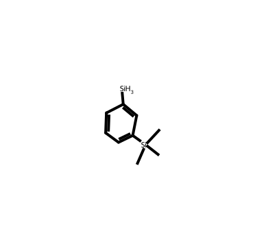 C[Si](C)(C)c1cccc([SiH3])c1